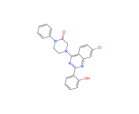 O=C1CN(c2nc(-c3ccccc3O)nc3cc(Cl)ccc23)CCN1c1ccccc1